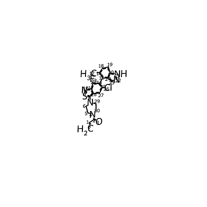 C=CC(=O)N1CCN(c2snc3c(F)c(-c4c(C)ccc5[nH]ncc45)c(Cl)cc23)CC1